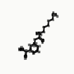 CCCCCCNC(=O)C[n+]1cccc(C(=O)O)c1